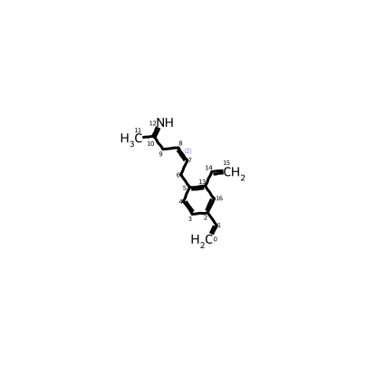 C=Cc1ccc(C/C=C\CC(C)=N)c(C=C)c1